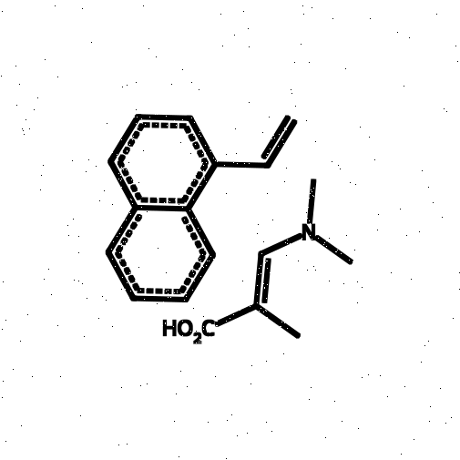 C=Cc1cccc2ccccc12.CC(=CN(C)C)C(=O)O